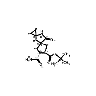 CC(C)(C)OC(=O)N1C[C@@]2(C[C@H]1C(N)=O)CC1(CC1)NC2=O